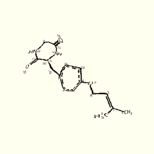 CC(C)=CCOc1ccc(C[C@@H]2NC(=O)CNC2=O)cc1